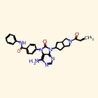 C=CC(=O)N1CC2CC(n3c(=O)n(-c4ccc(C(=O)Nc5ccccc5)cc4)c4c(N)ncnc43)CC2C1